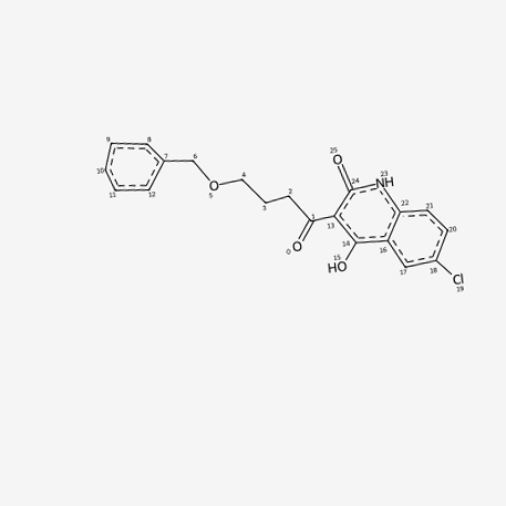 O=C(CCCOCc1ccccc1)c1c(O)c2cc(Cl)ccc2[nH]c1=O